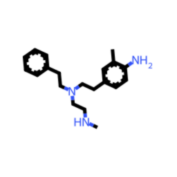 CNCCN(CCc1ccccc1)CCc1ccc(N)c(C)c1